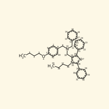 CCCCOc1ccc(CN(Cc2ccccc2)Cc2c(-c3ccccc3)nc(-c3ccccc3)n2CCCC)cc1